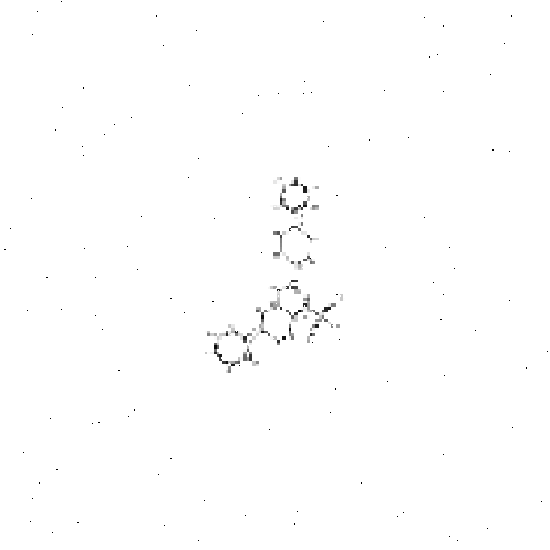 CS(=O)(=O)N[C@H]1CCN(c2cnccn2)CC1COC1CCC(c2ccccc2)CC1